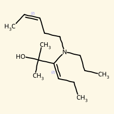 C/C=C\CCN(CCC)/C(=C\CC)C(C)(C)O